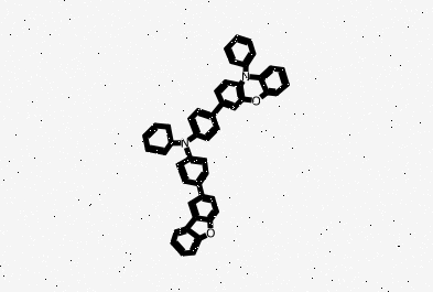 C1=CCC(N(c2ccc(-c3ccc4c(c3)Oc3ccccc3N4c3ccccc3)cc2)c2ccc(-c3ccc4oc5ccccc5c4c3)cc2)C=C1